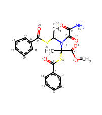 COC(=O)C(C)(SC(=O)c1ccccc1)N(C(=O)C(N)=O)C(C)SC(=O)c1ccccc1